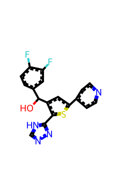 OC(c1ccc(F)c(F)c1)c1cc(-c2ccncc2)sc1-c1nnc[nH]1